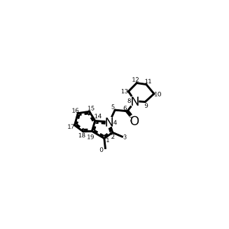 Cc1c(C)n(CC(=O)N2CCCCC2)c2ccccc12